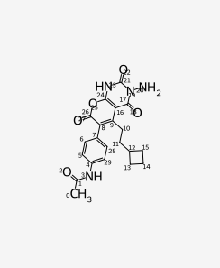 CC(=O)Nc1ccc(-c2c(CCC3CCC3)c3c(=O)n(N)c(=O)[nH]c3oc2=O)cc1